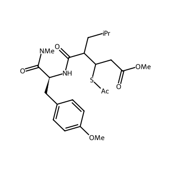 CNC(=O)[C@H](Cc1ccc(OC)cc1)NC(=O)C(CC(C)C)C(CC(=O)OC)SC(C)=O